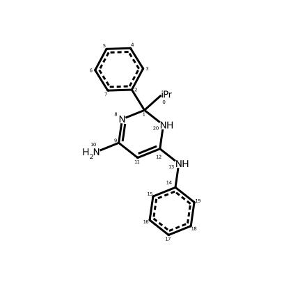 CC(C)C1(c2ccccc2)N=C(N)C=C(Nc2ccccc2)N1